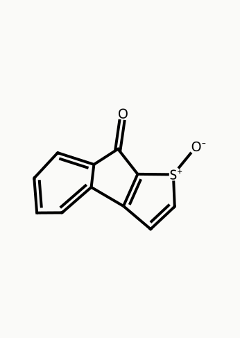 O=C1c2ccccc2-c2cc[s+]([O-])c21